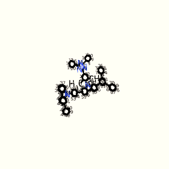 Cc1cc(-c2nc(-c3ccccc3)nc(-c3ccccc3)n2)cc(C)c1-n1c2cc(-c3ccc(-n4c5ccccc5c5ccc(-c6ccccc6)cc54)cc3)ccc2c2ccc(-c3cc(-c4ccccc4)cc(-c4ccccc4)c3)cc21